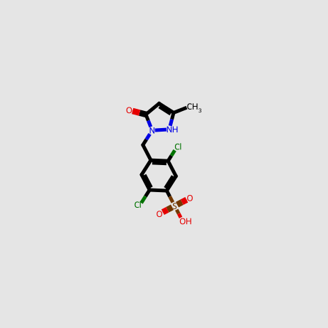 Cc1cc(=O)n(Cc2cc(Cl)c(S(=O)(=O)O)cc2Cl)[nH]1